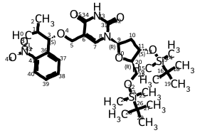 CC(C)[C@H](OCc1cn([C@H]2C[C@H](O[Si](C)(C)C(C)(C)C)[C@@H](CO[Si](C)(C)C(C)(C)C)O2)c(=O)[nH]c1=O)c1ccccc1[N+](=O)[O-]